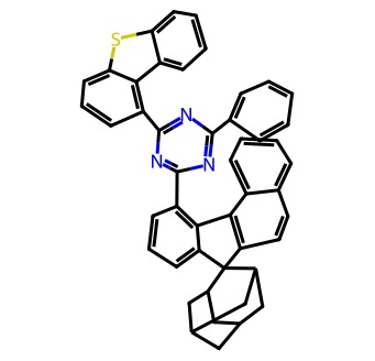 c1ccc(-c2nc(-c3cccc4c3-c3c(ccc5ccccc35)C43C4CC5CC(C4)CC3C5)nc(-c3cccc4sc5ccccc5c34)n2)cc1